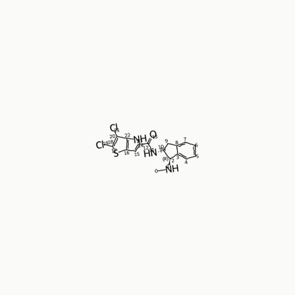 CN[C@@H]1c2ccccc2C[C@H]1NC(=O)c1cc2sc(Cl)c(Cl)c2[nH]1